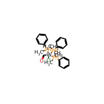 C[PH](C)(c1ccccc1)[W]([Cl])([CH]=O)([PH](C)(C)c1ccccc1)[PH](C)(C)c1ccccc1